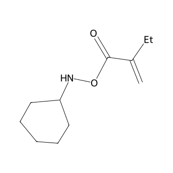 C=C(CC)C(=O)ONC1CCCCC1